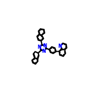 C1=c2ccccc2=CC(c2nc(-c3ccc(-c4cccc5cccnc45)cc3)nc(-c3ccc4ccccc4c3)n2)C1